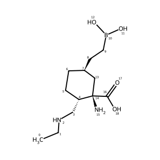 CCNC[C@@H]1CC[C@@H](CCB(O)O)C[C@]1(N)C(=O)O